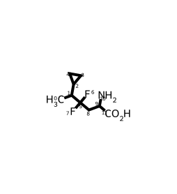 CC(C1CC1)C(F)(F)CC(N)C(=O)O